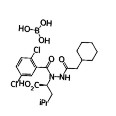 CC(C)C[C@@H](C(=O)O)N(NC(=O)CC1CCCCC1)C(=O)c1cc(Cl)ccc1Cl.OB(O)O